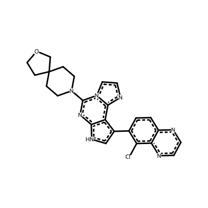 Clc1c(-c2c[nH]c3nc(N4CCC5(CCOC5)CC4)n4ccnc4c23)ccc2nccnc12